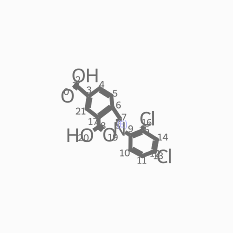 O=C(O)c1ccc(/C=N/c2ccc(Cl)cc2Cl)c(C(=O)O)c1